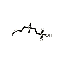 C[N+](C)(CCOI)CCS(=O)(=O)O